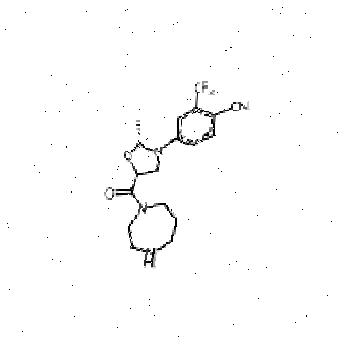 C[C@H]1O[C@H](C(=O)N2CCCNCC2)CN1c1ccc(C#N)c(C(F)(F)F)c1